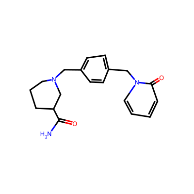 NC(=O)C1CCCN(Cc2ccc(Cn3ccccc3=O)cc2)C1